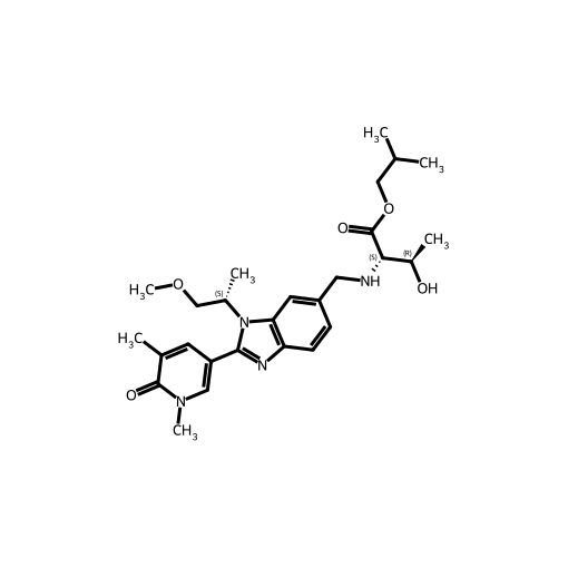 COC[C@H](C)n1c(-c2cc(C)c(=O)n(C)c2)nc2ccc(CN[C@H](C(=O)OCC(C)C)[C@@H](C)O)cc21